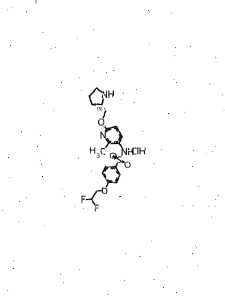 Cc1nc(OC[C@@H]2CCCN2)ccc1NS(=O)(=O)c1ccc(OCC(F)F)cc1.Cl